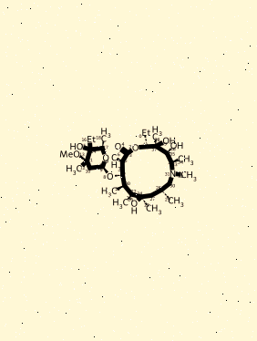 CC[C@H]1OC(=O)[C@H](C)[C@@H](O[C@H]2C[C@@](C)(OC)C(O)(CC)[C@H](C)O2)[C@H](C)[C@@H](C)[C@](C)(O)C[C@@H](C)CN(C)[C@H](C)[C@@H](O)[C@]1(C)O